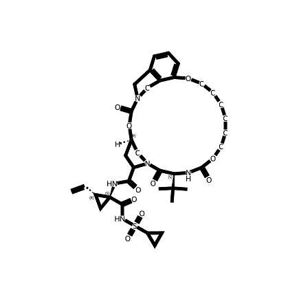 C=C[C@H]1C[C@@]1(NC(=O)C1C[C@@H]2CN1C(=O)[C@H](C(C)(C)C)NC(=O)OCCCCCCOc1cccc3c1CN(C3)C(=O)O2)C(=O)NS(=O)(=O)C1CC1